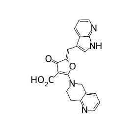 O=C(O)C1=C(N2CCc3ncccc3C2)OC(=Cc2c[nH]c3ncccc23)C1=O